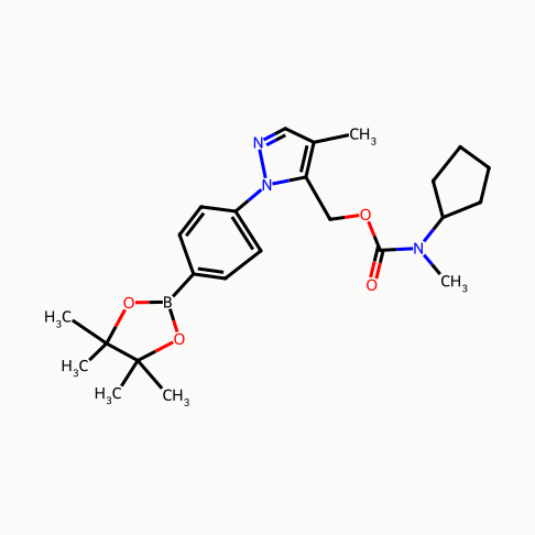 Cc1cnn(-c2ccc(B3OC(C)(C)C(C)(C)O3)cc2)c1COC(=O)N(C)C1CCCC1